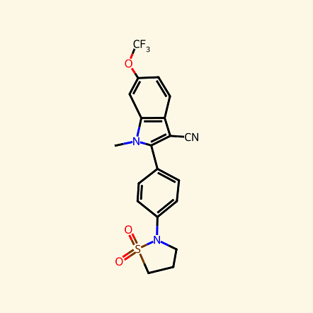 Cn1c(-c2ccc(N3CCCS3(=O)=O)cc2)c(C#N)c2ccc(OC(F)(F)F)cc21